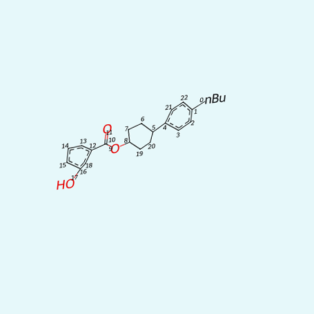 CCCCc1ccc(C2CCC(OC(=O)c3cccc(O)c3)CC2)cc1